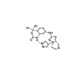 CC(C)C1(C(C)C)OC(=O)Nc2cc(NC3=N[N+]4(c5cnn(C)c5)C=CN=CC4=N3)ccc21